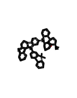 CC1(C)c2ccccc2-c2ccc(-n3c4cc(N(c5ccccc5)c5ccccc5-c5ccc(Br)cc5)ccc4c4ccc5sc6ccccc6c5c43)cc21